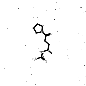 CC(C[CH]C(=O)N1CCCC1)NC(=N)N